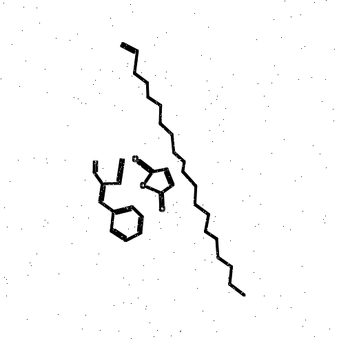 C=CC(C=C)=Cc1ccccc1.C=CCCCCCCCCCCCCCCCCCC.O=C1C=CC(=O)O1